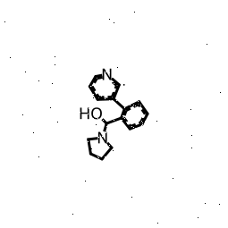 OC(c1ccccc1-c1[c]nccc1)N1CCCC1